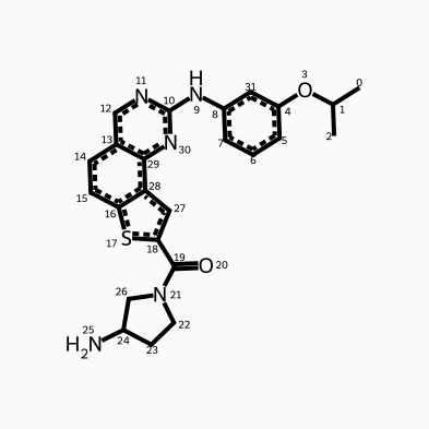 CC(C)Oc1cccc(Nc2ncc3ccc4sc(C(=O)N5CCC(N)C5)cc4c3n2)c1